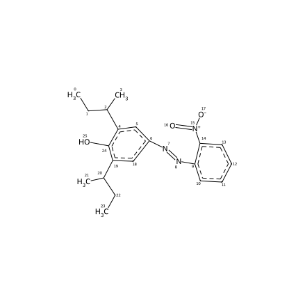 CCC(C)c1cc(N=Nc2ccccc2[N+](=O)[O-])cc(C(C)CC)c1O